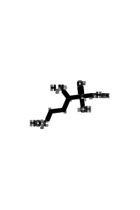 CCCCCCP(=O)(O)C(N)CCC(=O)O